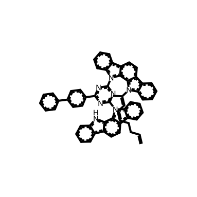 C=CCC/C=C\C=C(/C)n1c2ccccc2c2ccc3c4ccccc4n(-c4nc(-c5ccc(-c6ccccc6)cc5)nc(-n5c6ccccc6c6ccc7c8ccccc8[nH]c7c65)n4)c3c21